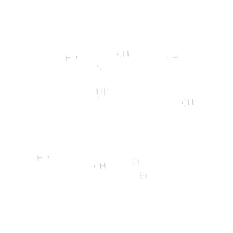 CCC1=[C]([Hf+2]([C]2=C(CC)C(C)=CC2)=[Si](C)C)CC=C1C.[Br-].[Br-]